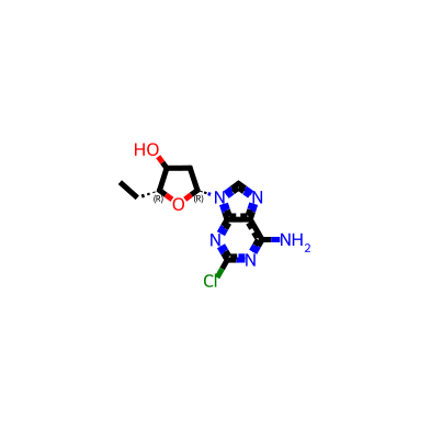 CC[C@H]1O[C@@H](n2cnc3c(N)nc(Cl)nc32)CC1O